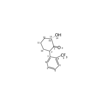 O=C1C(c2ccccc2C(F)(F)F)CCC[C@@H]1O